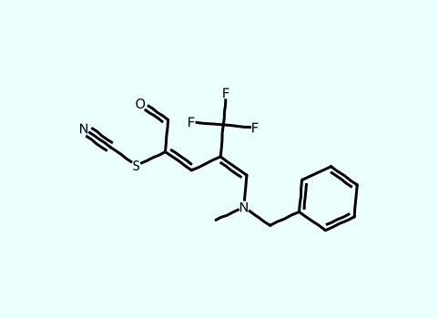 CN(/C=C(\C=C(/C=O)SC#N)C(F)(F)F)Cc1ccccc1